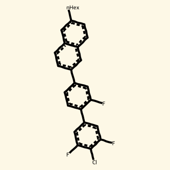 CCCCCCc1ccc2cc(-c3ccc(-c4cc(F)c(Cl)c(F)c4)c(F)c3)ccc2c1